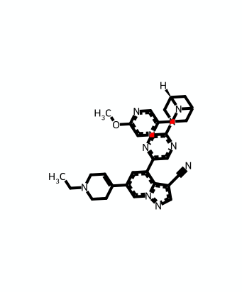 CCN1CC=C(c2cc(-c3cnc(N4CC5C[C@@H](C4)N5Cc4cnc(OC)cn4)cn3)c3c(C#N)cnn3c2)CC1